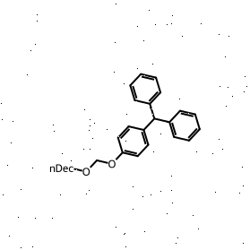 CCCCCCCCCCOCOc1ccc(C(c2ccccc2)c2ccccc2)cc1